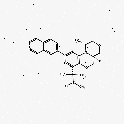 C[C@@H]1COC[C@H]2COc3c(nc(-c4ccc5ccncc5c4)nc3C(C)(C)[S+](C)[O-])N21